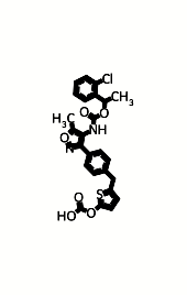 Cc1onc(-c2ccc(Cc3ccc(OC(=O)O)s3)cc2)c1NC(=O)OC(C)c1ccccc1Cl